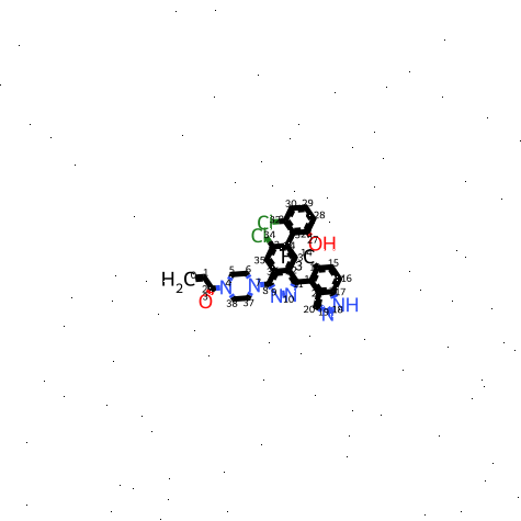 C=CC(=O)N1CCN(c2nnc(-c3c(C)ccc4[nH]ncc34)c3cc(-c4c(O)cccc4Cl)c(Cl)cc23)CC1